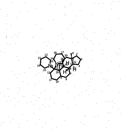 C[C@@]12CCC[C@H]1[C@@H]1CCC3CCCC(N4CCCCC4)(N4CCCCC4)[C@]3(C)[C@H]1CC2